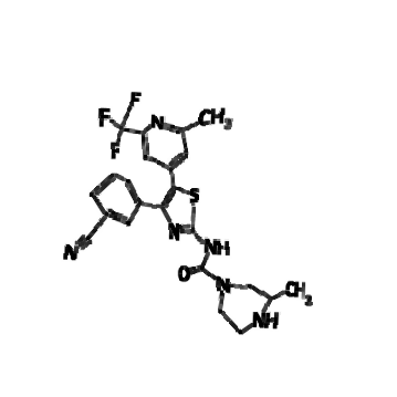 Cc1cc(-c2sc(NC(=O)N3CCNC(C)C3)nc2-c2cccc(C#N)c2)cc(C(F)(F)F)n1